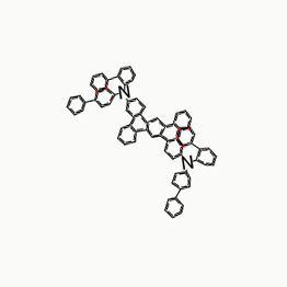 c1ccc(-c2ccc(N(c3ccc4c(c3)c3ccccc3c3cc5c6ccc(N(c7ccc(-c8ccccc8)cc7)c7ccccc7-c7ccccc7)cc6c6ccccc6c5cc43)c3ccccc3-c3ccccc3)cc2)cc1